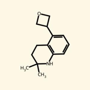 CC1(C)CCc2c(cccc2C2COC2)N1